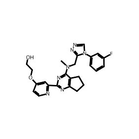 CN(Cc1nncn1-c1cccc(F)c1)c1nc(-c2cc(OCCO)ccn2)nc2c1CCC2